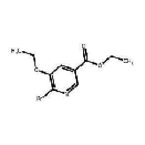 CCOC(=O)c1cnc(Br)c(OCC)c1